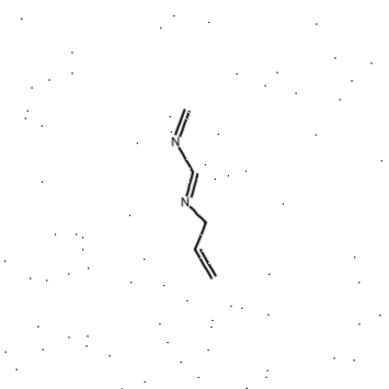 C=CCN=CN=C